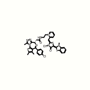 CCn1c(=O)/c(=C2\Sc3ccccc3N2C)s/c1=C\c1cccc[n+]1CCNC(=O)C[C@@H]1N=C(c2ccc(Cl)cc2)c2c(sc(C)c2C)-n2c(C)nnc21